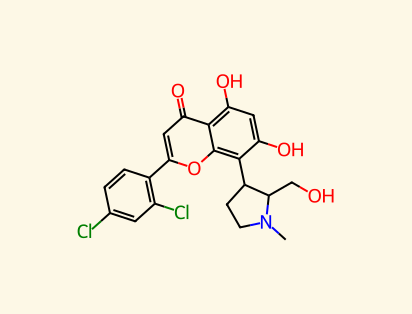 CN1CCC(c2c(O)cc(O)c3c(=O)cc(-c4ccc(Cl)cc4Cl)oc23)C1CO